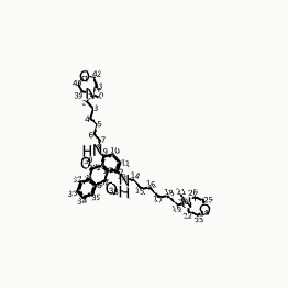 C[N+]1(CCCCCCNc2ccc(NCCCCCC[N+]3(C)CCOCC3)c3c2C(=O)c2ccccc2C3=O)CCOCC1